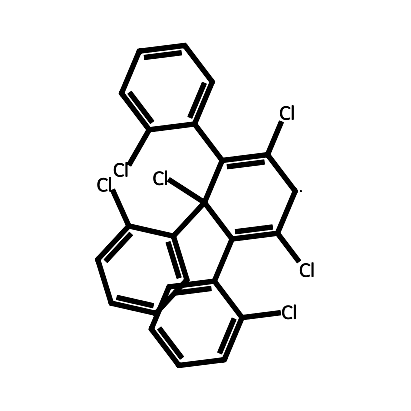 ClC1=C(c2ccccc2Cl)C(Cl)(c2ccccc2Cl)C(c2ccccc2Cl)=C(Cl)[CH]1